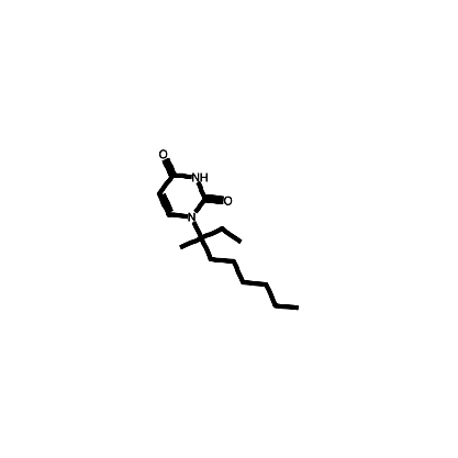 CCCCCCC(C)(CC)n1ccc(=O)[nH]c1=O